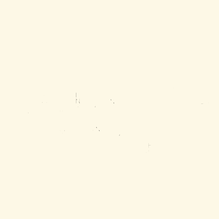 CC(C)N1C(NC(=O)OC(C)(C)C)=NCC1c1ccc(F)cc1F